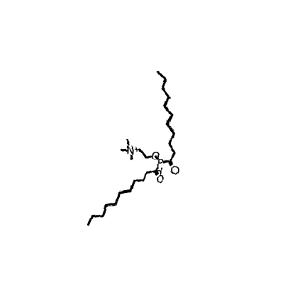 CCCCCCCCCCC(=O)[PH-](OCC[N+](C)(C)C)C(=O)CCCCCCCCCC